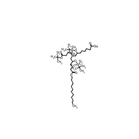 CCCCCCCCCCCOC(=O)CCCC(CN(CCCC(=O)OC(C)(C)C)CC(CCCCCC(=O)O)O[Si](C)(C)C(C)(C)C)O[Si](C)(C)C(C)(C)C